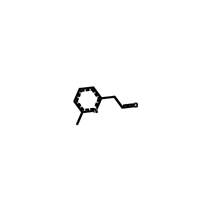 Cc1cccc(CC=O)n1